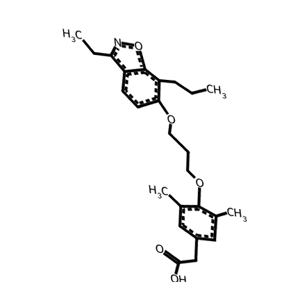 CCCc1c(OCCCOc2c(C)cc(CC(=O)O)cc2C)ccc2c(CC)noc12